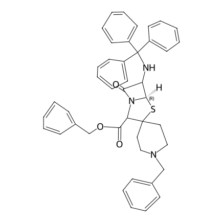 O=C(OCc1ccccc1)C1N2C(=O)C(NC(c3ccccc3)(c3ccccc3)c3ccccc3)[C@H]2SC12CCN(Cc1ccccc1)CC2